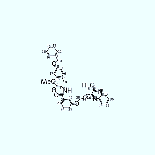 COC(=O)[C@H](Cc1ccc(OCc2ccccc2)cc1)NC(=O)c1cccc(OCCOc2nc3ccccc3nc2C)c1